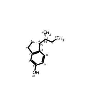 CC[C@@H](C)[C@H]1CCc2cc(O)ccc21